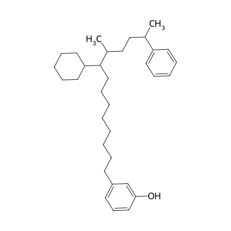 CC(CCC(C)C(CCCCCCCCc1cccc(O)c1)C1CCCCC1)c1ccccc1